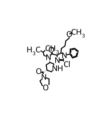 COCCCCC1C(C(=O)N(CC(C)C)[C@@H]2CNC[C@H](C(=O)N3CCOCC3)C2)N=C(Cl)N1c1ccccc1